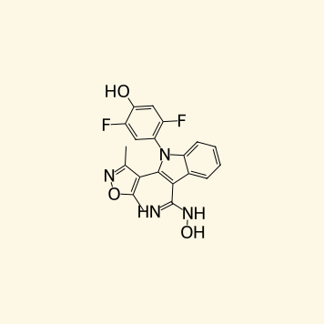 Cc1noc(C)c1-c1c(C(=N)NO)c2ccccc2n1-c1cc(F)c(O)cc1F